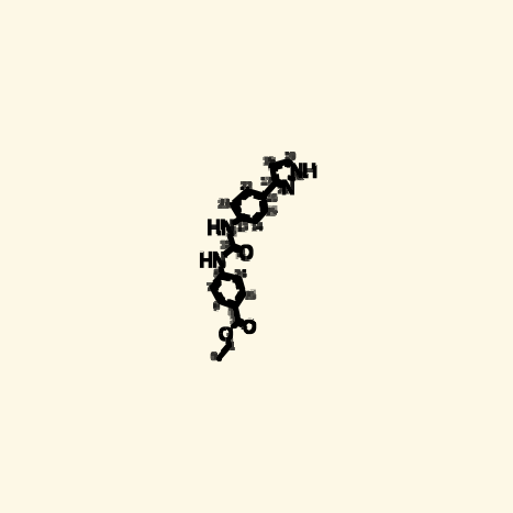 CCOC(=O)c1ccc(NC(=O)Nc2ccc(-c3cc[nH]n3)cc2)cc1